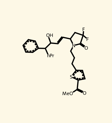 CCCC(c1ccccc1)C(O)/C=C/C1CC(F)(F)C(=O)N1CCCc1ccc(C(=O)OC)s1